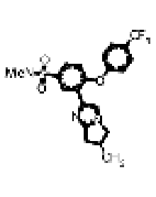 CNS(=O)(=O)c1ccc(Oc2ccc(C(F)(F)F)cc2)c(-c2cn3c(n2)C[C@H](C)C3)c1